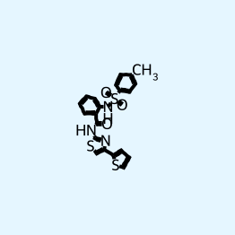 Cc1ccc(S(=O)(=O)Nc2ccccc2C(=O)Nc2nc(-c3cccs3)cs2)cc1